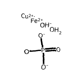 O.O=P([O-])([O-])[O-].[Cu+2].[Fe+2].[OH-]